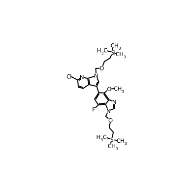 COc1c(-c2cn(COCC[Si](C)(C)C)c3nc(Cl)ccc23)cc(F)c2c1ncn2COCC[Si](C)(C)C